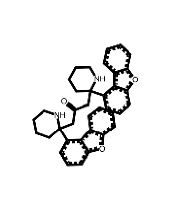 O=C(CC1(c2cccc3oc4ccccc4c23)CCCCN1)CC1(c2cccc3oc4ccccc4c23)CCCCN1